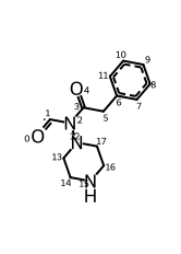 O=[C]N(C(=O)Cc1ccccc1)N1CCNCC1